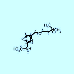 CN(C)CCOCc1csc(NC(=O)O)n1